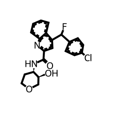 O=C(N[C@H]1CCOC[C@@H]1O)c1cc(C(F)c2ccc(Cl)cc2)c2ccccc2n1